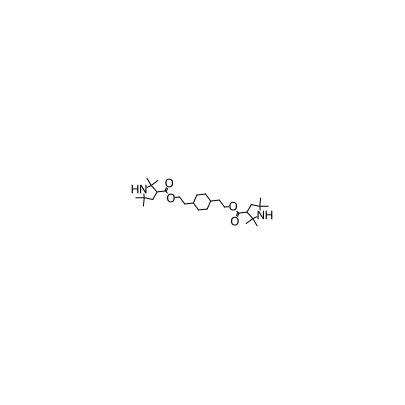 CC1(C)CC(C(=O)OCCC2CCC(CCOC(=O)C3CC(C)(C)NC3(C)C)CC2)C(C)(C)N1